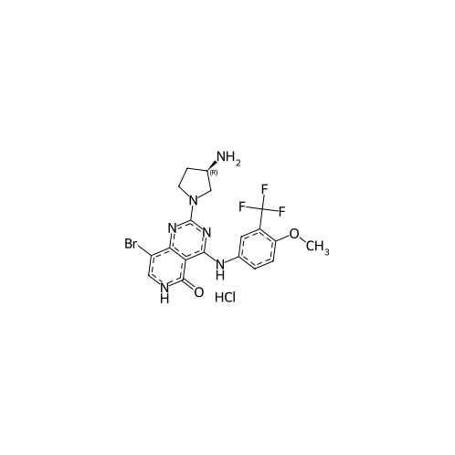 COc1ccc(Nc2nc(N3CC[C@@H](N)C3)nc3c(Br)c[nH]c(=O)c23)cc1C(F)(F)F.Cl